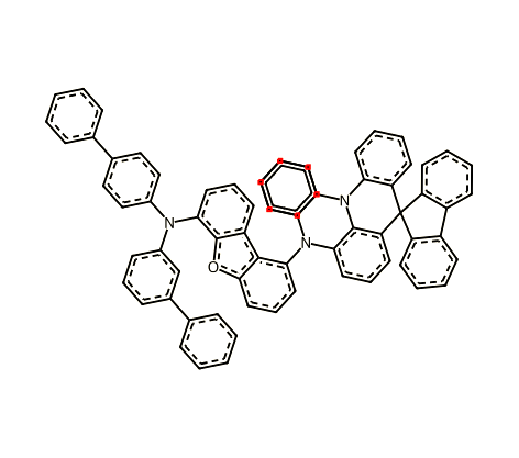 c1ccc(-c2ccc(N(c3cccc(-c4ccccc4)c3)c3cccc4c3oc3cccc(N(c5ccccc5)c5cccc6c5N(c5ccccc5)c5ccccc5C65c6ccccc6-c6ccccc65)c34)cc2)cc1